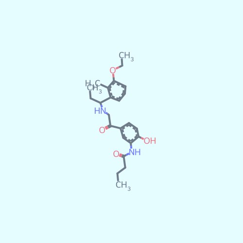 CCCC(=O)Nc1cc(C(=O)CNC(CC)c2cccc(OCC)c2C)ccc1O